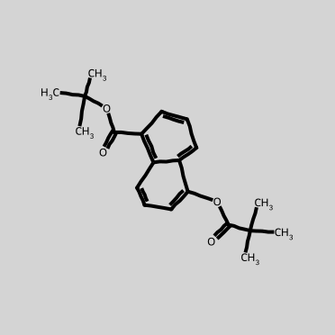 CC(C)(C)OC(=O)c1cccc2c(OC(=O)C(C)(C)C)cccc12